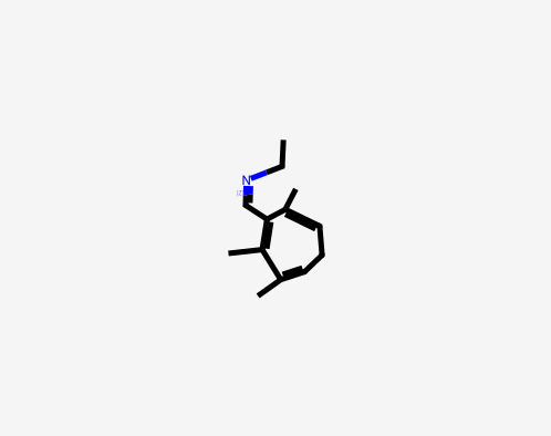 CC/N=C\C1=C(C)C(C)=CCC=C1C